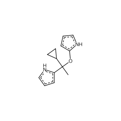 CC(Oc1ccc[nH]1)(c1ccc[nH]1)C1CC1